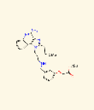 COCCc1nc2c(N)nc3ccccc3c2n1CCCNCc1cccc(OCC(=O)OC(C)(C)C)c1